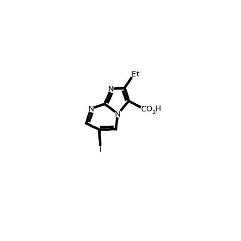 CCc1nc2ncc(I)cn2c1C(=O)O